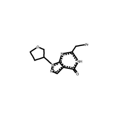 CC(C)Cc1nc2c(cnn2C2CCOC2)c(=O)[nH]1